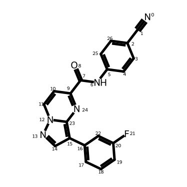 N#Cc1ccc(NC(=O)c2ccn3ncc(-c4cccc(F)c4)c3n2)cc1